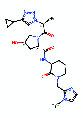 Cn1ccnc1CN1CCCC(NC(=O)[C@@H]2C[C@@H](O)CN2C(=O)[C@@H](n2cc(C3CC3)nn2)C(C)(C)C)C1=O